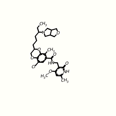 CCC(CCCC1COc2c(Cl)cc(C(=O)NCc3c(OC)cc(C)[nH]c3=O)c(C)c2O1)N1CC2COCC2C1